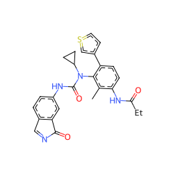 CCC(=O)Nc1ccc(-c2ccsc2)c(N(C(=O)Nc2ccc3c(c2)C(=O)N=C3)C2CC2)c1C